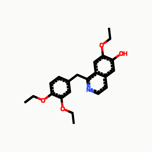 CCOc1cc2c(Cc3ccc(OCC)c(OCC)c3)nccc2cc1O